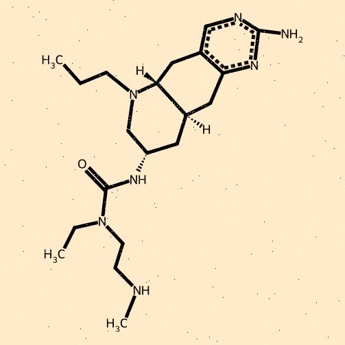 CCCN1C[C@@H](NC(=O)N(CC)CCNC)C[C@@H]2Cc3nc(N)ncc3C[C@H]21